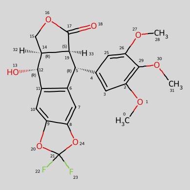 COc1cc([C@@H]2c3cc4c(cc3[C@H](O)[C@H]3COC(=O)[C@@H]23)OC(F)(F)O4)cc(OC)c1OC